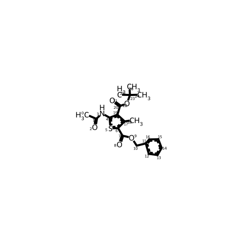 CC(=O)Nc1sc(C(=O)OCc2ccccc2)c(C)c1C(=O)OC(C)(C)C